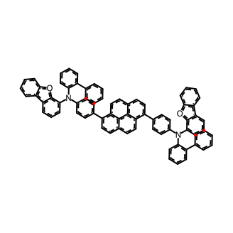 c1ccc(-c2ccccc2N(c2ccc(-c3ccc4ccc5c(-c6ccc(N(c7ccccc7-c7ccccc7)c7cccc8c7oc7ccccc78)cc6)ccc6ccc3c4c65)cc2)c2cccc3c2oc2ccccc23)cc1